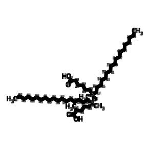 CCCCCCCCCCCCCCCCCC[Si](C)(CCCCCC(=O)O)O[Si](C)(CCCCCCCCCCCCCCCCCC)CCCC(C)C(=O)O